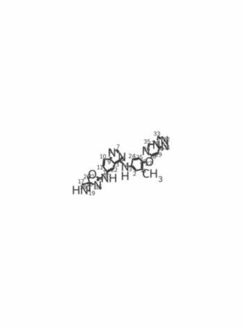 Cc1cc(Nc2ncnc3ccc(NC4=NC5(CNC5)CO4)cc23)ccc1Oc1cc2nncn2cn1